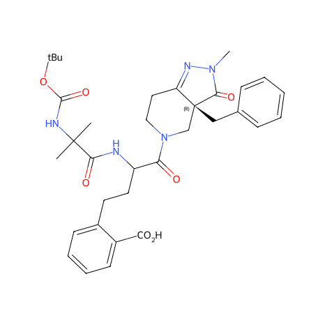 CN1N=C2CCN(C(=O)C(CCc3ccccc3C(=O)O)NC(=O)C(C)(C)NC(=O)OC(C)(C)C)C[C@@]2(Cc2ccccc2)C1=O